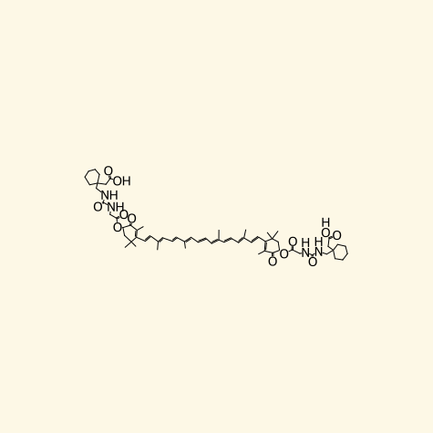 CC1=C(/C=C/C(C)=C/C=C/C(C)=C/C=C/C=C(C)/C=C/C=C(C)/C=C/C2=C(C)C(=O)C(OC(=O)CNC(=O)NCC3(CC(=O)O)CCCCC3)CC2(C)C)C(C)(C)CC(OC(=O)CNC(=O)NCC2(CC(=O)O)CCCCC2)C1=O